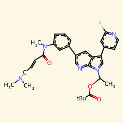 CC(OC(=O)C(C)(C)C)n1cc(-c2ccnc(F)c2)c2cc(-c3cccc(N(C)C(=O)/C=C/CN(C)C)c3)cnc21